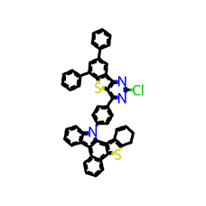 Clc1nc(-c2ccc(-n3c4ccccc4c4c5ccccc5c5sc6c(c5c43)C=CCC6)cc2)c2sc3c(-c4ccccc4)cc(-c4ccccc4)cc3c2n1